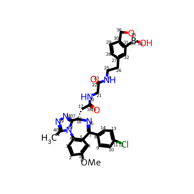 COc1ccc2c(c1)C(c1ccc(Cl)cc1)=N[C@@H](CC(=O)NCC(=O)NCCc1ccc3c(c1)B(O)OC3)c1nnc(C)n1-2